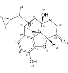 CC(C1CC1)N1CC[C@]23c4c5ccc(O)c4O[C@H]2C(=O)CC[C@@]3(O)C1C5